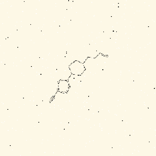 N#Cc1ccc(C2CCC(CCC=O)CC2)cc1